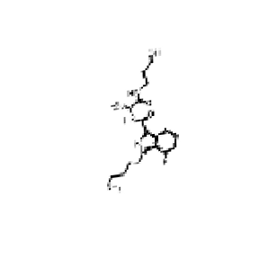 CC(C)(C)C(NC(=O)c1nn(CCCCN)c2c(F)cccc12)C(=O)NCCCO